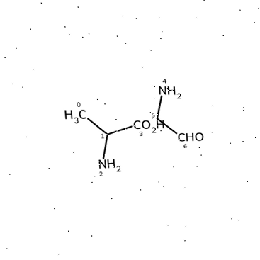 CC(N)C(=O)O.NCC=O